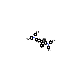 CC(C)c1ccc(N(c2ccc(C#N)cc2)c2ccc3cc4c(cc3c2)C(C(C)(C)C)(C(C)(C)C)c2c-4c3ccccc3c3cc(N(c4ccc(C#N)cc4)c4ccc(C(C)C)cc4)ccc23)cc1